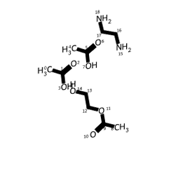 CC(=O)O.CC(=O)O.CC(=O)OCCO.NCCN